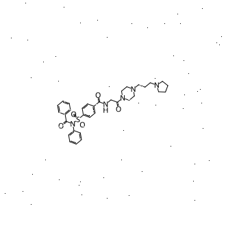 O=C(NCC(=O)N1CCN(CCCN2CCCC2)CC1)c1ccc(S(=O)(=O)N(C(=O)c2ccccc2)c2ccccc2)cc1